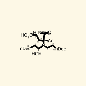 CCCCCCCCCCCCN(CCCCCCCCCCCC)[C@@](CCC(=O)O)(C(C)=O)C(N)=O.Cl